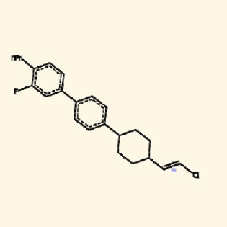 CCCc1ccc(-c2ccc(C3CCC(/C=C/Cl)CC3)cc2)cc1F